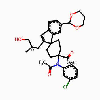 COC(=O)C1(N(C(=O)C(F)(F)F)c2cccc(Cl)c2)CCC2(CC1)C(C[C@@H](C)CO)=Cc1ccc(C3OCCCO3)cc12